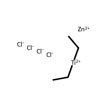 C[CH2][Ti+2][CH2]C.[Cl-].[Cl-].[Cl-].[Cl-].[Zn+2]